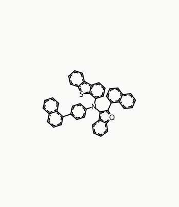 c1ccc2c(-c3ccc(N(c4c(-c5cccc6ccccc56)oc5ccccc45)c4cccc5c4sc4ccccc45)cc3)cccc2c1